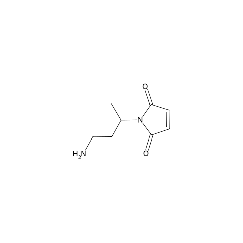 CC(CCN)N1C(=O)C=CC1=O